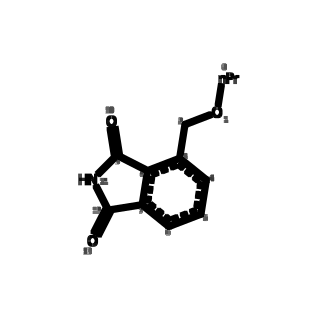 CCCOCc1cccc2c1C(=O)NC2=O